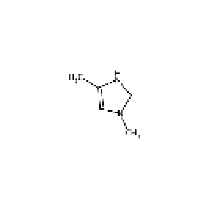 CC1=CN(C)[CH]N1